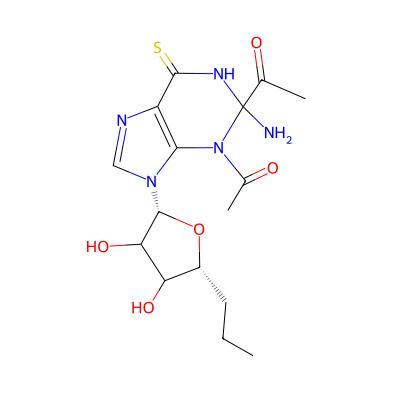 CCC[C@H]1O[C@@H](n2cnc3c2N(C(C)=O)C(N)(C(C)=O)NC3=S)C(O)C1O